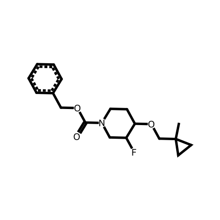 CC1(COC2CCN(C(=O)OCc3ccccc3)CC2F)CC1